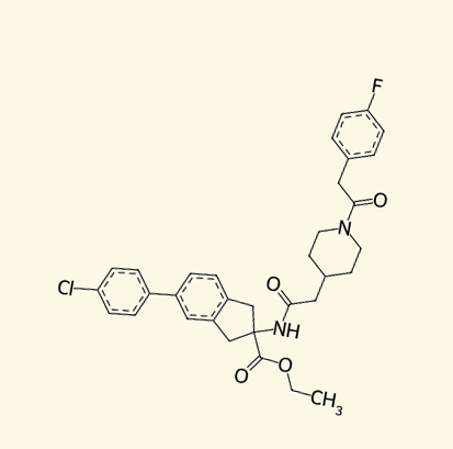 CCOC(=O)C1(NC(=O)CC2CCN(C(=O)Cc3ccc(F)cc3)CC2)Cc2ccc(-c3ccc(Cl)cc3)cc2C1